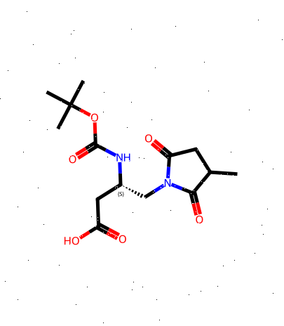 CC1CC(=O)N(C[C@H](CC(=O)O)NC(=O)OC(C)(C)C)C1=O